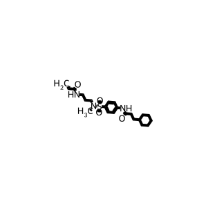 C=CC(=O)NCCCN(C)S(=O)(=O)c1ccc(NC(=O)CCC2CCCCC2)cc1